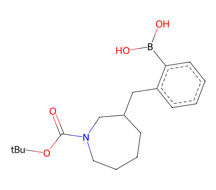 CC(C)(C)OC(=O)N1CCCCC(Cc2ccccc2B(O)O)C1